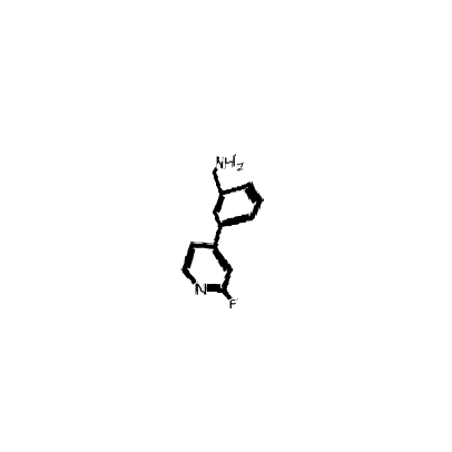 NCc1cccc(-c2ccnc(F)c2)c1